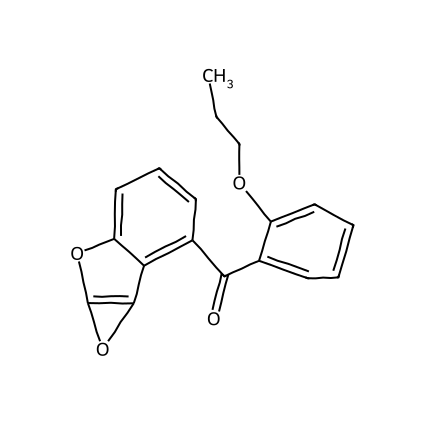 CCCOc1ccccc1C(=O)c1cccc2oc3c(c12)O3